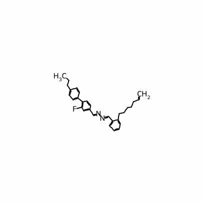 C=CCCCCCc1ccccc1C=NN=Cc1ccc(-c2ccc(CCC)cc2)c(F)c1